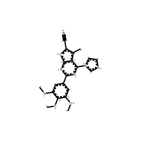 COc1cc(-c2nc(-n3ccnc3)c3c(C)c(C#N)sc3n2)cc(OC)c1OC